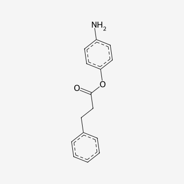 Nc1ccc(OC(=O)CCc2ccccc2)cc1